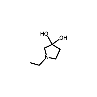 CCN1CCC(O)(O)C1